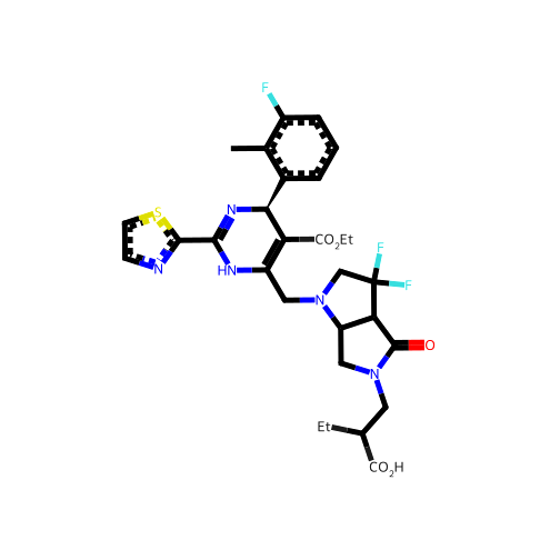 CCOC(=O)C1=C(CN2CC(F)(F)C3C(=O)N(CC(CC)C(=O)O)CC32)NC(c2nccs2)=N[C@H]1c1cccc(F)c1C